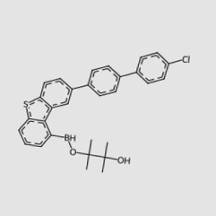 CC(C)(O)C(C)(C)OBc1cccc2sc3ccc(-c4ccc(-c5ccc(Cl)cc5)cc4)cc3c12